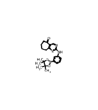 CC1(C)OB(c2cccc(Nc3ncc4c(n3)CCCCC4=O)c2)OC1(C)C